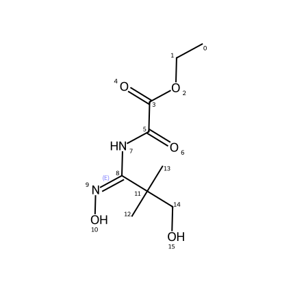 CCOC(=O)C(=O)N/C(=N/O)C(C)(C)CO